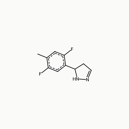 Cc1cc(F)c(C2CC=NN2)cc1F